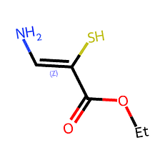 CCOC(=O)/C(S)=C/N